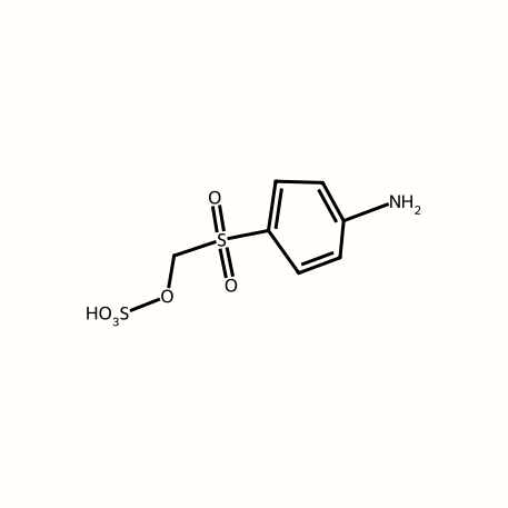 Nc1ccc(S(=O)(=O)COS(=O)(=O)O)cc1